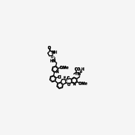 COc1nc(-c2cccc(-c3cccc4c3CC[C@@H]4Oc3nc(OC)c(CN(C)[C@@H](C)C(=O)O)cc3C(F)(F)F)c2Cl)ccc1CNC[C@@H]1CCC(=O)N1